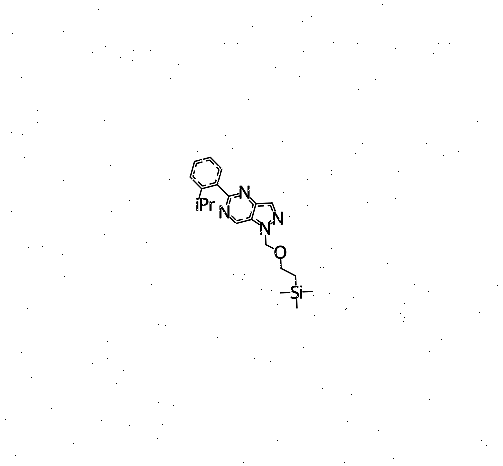 CC(C)c1ccccc1-c1ncc2c(cnn2COCC[Si](C)(C)C)n1